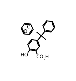 CC(C)(c1ccccc1)c1ccc(O)c(C(=O)O)c1.c1cc2ccc1CO2